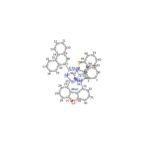 c1ccc(C2N=C(c3cc4ccccc4c4ccccc34)N=C(c3cccc4oc5cccc(-c6ccc7sc8ccccc8c7c6)c5c34)N2)cc1